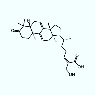 C[C@H](CC/C=C(/CO)C(=O)O)[C@H]1CC[C@@]2(C)C3=CC[C@H]4C(C)(C)C(=O)CC[C@]4(C)C3=CC[C@]12C